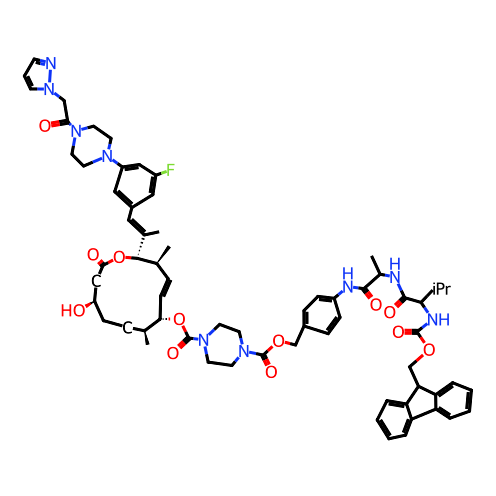 C/C(=C\c1cc(F)cc(N2CCN(C(=O)Cn3cccn3)CC2)c1)[C@H]1OC(=O)C[C@H](O)CC[C@H](C)[C@@H](OC(=O)N2CCN(C(=O)OCc3ccc(NC(=O)C(C)NC(=O)C(NC(=O)OCC4c5ccccc5-c5ccccc54)C(C)C)cc3)CC2)/C=C/[C@@H]1C